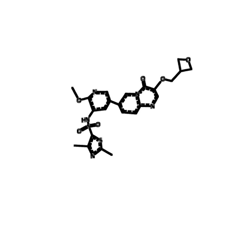 COc1ncc(-c2ccc3ncc(OCC4COC4)c(=O)n3c2)cc1NS(=O)(=O)c1sc(C)nc1C